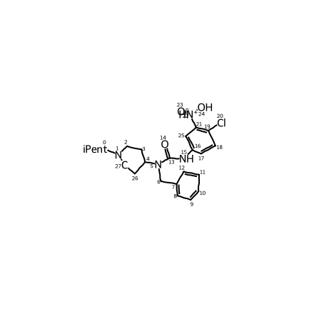 CCCC(C)N1CCC(N(Cc2ccccc2)C(=O)Nc2ccc(Cl)c([N@@H+]([O-])O)c2)CC1